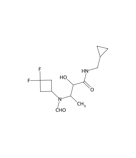 CC(C(O)C(=O)NCC1CC1)N(C=O)C1CC(F)(F)C1